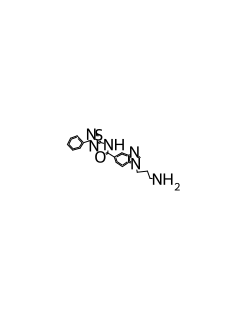 NCCCn1cnc2cc(C(=O)Nc3nc(-c4ccccc4)ns3)ccc21